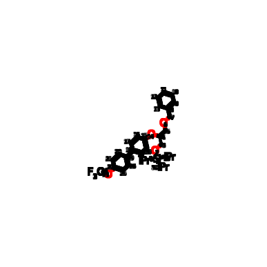 CC(C)[Si](OC[C@H](COCc1ccccc1)Oc1ccc(-c2ccc(OC(F)(F)F)cc2)cc1)(C(C)C)C(C)C